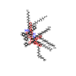 CCCCCCCCCCCCCC(=O)O[C@H](CCCCCCCCCCC)CC(=O)N[C@@H]1[C@@H](OCc2ccccc2)O[C@H](CO[C@@H]2O[C@H](COCc3ccccc3)[C@@H](O)[C@H](OC(=O)C[C@@H](CCCCCCCCCCC)OC(=O)CCCCCCCCCCCCC)[C@@H]2NC(=O)C[C@@H](CCCCCCCCCCC)OC(=O)CCCCCCCCCCCCC)[C@@H](OCc2ccccc2)[C@@H]1OCc1ccccc1